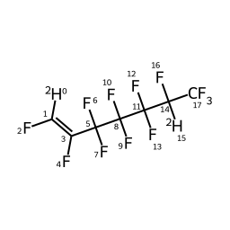 [2H]C(F)=C(F)C(F)(F)C(F)(F)C(F)(F)C([2H])(F)C(F)(F)F